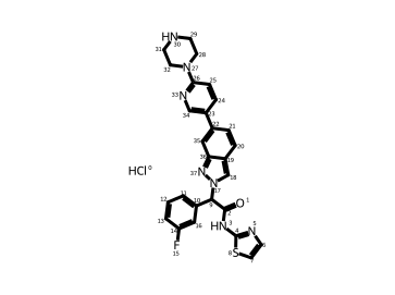 Cl.O=C(Nc1nccs1)C(c1cccc(F)c1)n1cc2ccc(-c3ccc(N4CCNCC4)nc3)cc2n1